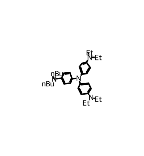 CCCCN(CCCC)c1ccc(N(c2ccc(N(CC)CC)cc2)c2ccc(N(CC)CC)cc2)cc1